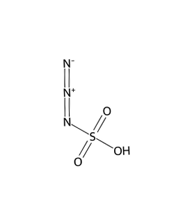 [N-]=[N+]=NS(=O)(=O)O